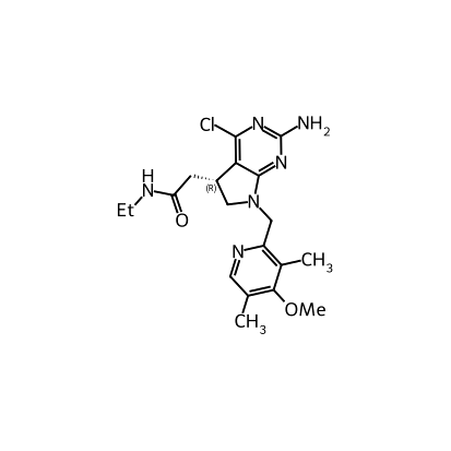 CCNC(=O)C[C@H]1CN(Cc2ncc(C)c(OC)c2C)c2nc(N)nc(Cl)c21